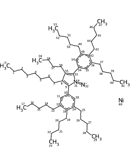 CCCCCCCCC1=C(c2cc(CCCCC)c(CCCCC)c(CCCCC)c2)[N+](=[N-])C(c2cc(CCCCC)c(CCCCC)c(CCCCC)c2)=C1CCCC.[Ni]